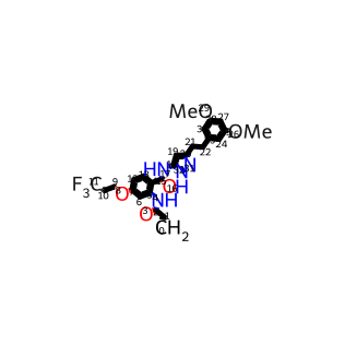 C=CC(=O)Nc1cc(OCCC(F)(F)F)ccc1C(=O)Nc1cc(CCc2cc(OC)cc(OC)c2)n[nH]1